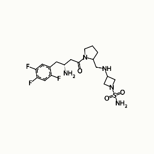 N[C@@H](CC(=O)N1CCCC1CNC1CN(S(N)(=O)=O)C1)Cc1cc(F)c(F)cc1F